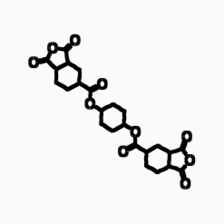 O=C(OC1CCC(OC(=O)C2CCC3C(=O)OC(=O)C3C2)CC1)C1CCC2C(=O)OC(=O)C2C1